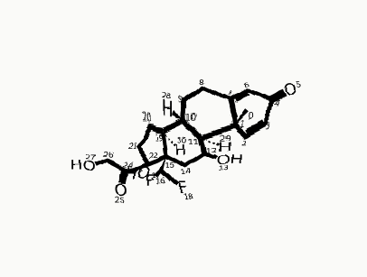 C[C@]12C=CC(=O)C=C1CC[C@@H]1[C@@H]2C(O)C[C@@]2(C(F)F)[C@H]1CC[C@]2(O)C(=O)CO